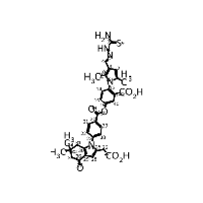 Cc1cc(/C=N/NC(N)=S)c(C)n1-c1ccc(OC(=O)c2ccc(-n3c(CC(=O)O)cc4c3CC(C)(C)CC4=O)cc2)cc1C(=O)O